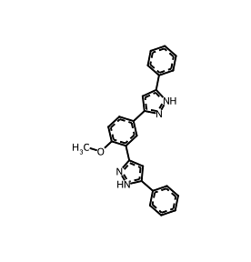 COc1ccc(-c2cc(-c3ccccc3)[nH]n2)cc1-c1cc(-c2ccccc2)[nH]n1